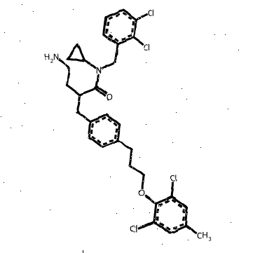 Cc1cc(Cl)c(OCCCc2ccc(CC(CCN)C(=O)N(Cc3cccc(Cl)c3Cl)C3CC3)cc2)c(Cl)c1